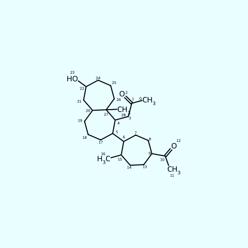 CC(=O)CC1C(C2CCC(C(C)=O)CCC2C)CCCC2CC(O)CCCC21C